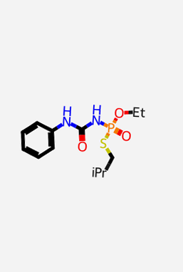 CCOP(=O)(NC(=O)Nc1ccccc1)SCC(C)C